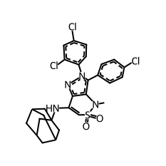 CN1c2c(nn(-c3ccc(Cl)cc3Cl)c2-c2ccc(Cl)cc2)C(NC23CC4CC(CC(C4)C2)C3)=CS1(=O)=O